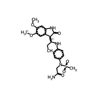 CC/C(Nc1ccc(N(CC(N)=O)S(C)(=O)=O)cc1)=C1/C(=O)Nc2cc(OC)c(OC)cc21